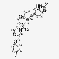 Cc1ccc(OCC2CN(C(=O)N3CCOc4ccc(-c5ccc6nc(C)[nH]c6c5)cc4C3)CCO2)cc1